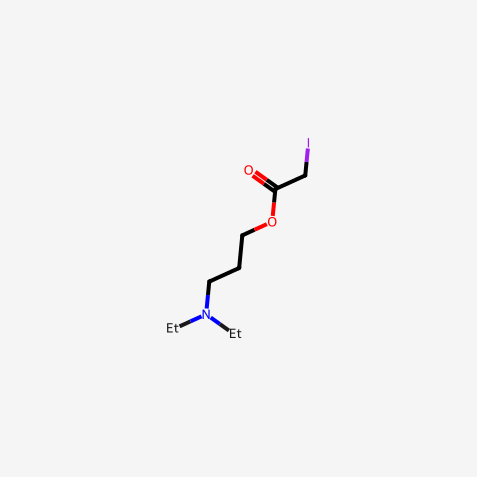 CCN(CC)CCCOC(=O)CI